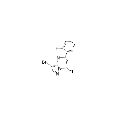 FC1=CCCC=C1c1cc(Cl)n2ncc(Br)c2n1